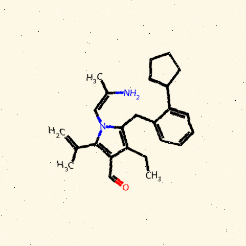 C=C(C)c1c(C=O)c(CC)c(Cc2ccccc2C2CCCC2)n1/C=C(/C)N